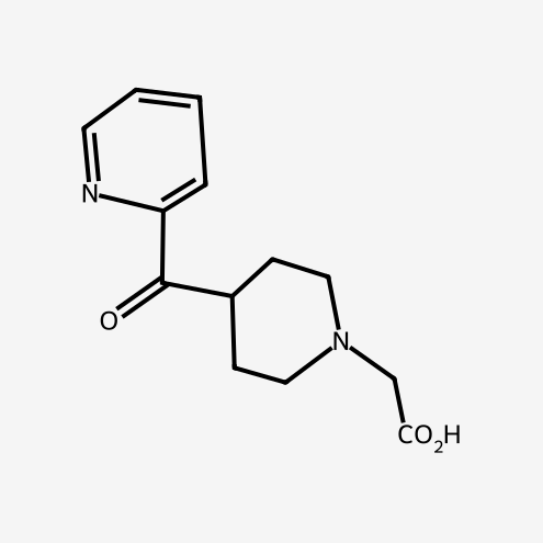 O=C(O)CN1CCC(C(=O)c2ccccn2)CC1